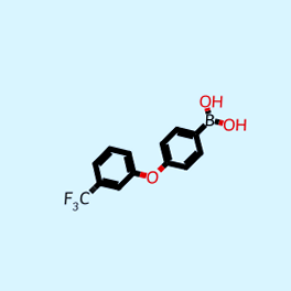 OB(O)c1ccc(Oc2cccc(C(F)(F)F)c2)cc1